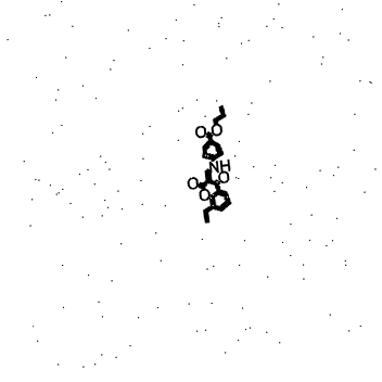 CCCOC(=O)c1ccc(NC=C2C(=O)Oc3c(CC)cccc3C2=O)cc1